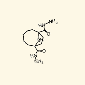 NNC(=O)C12BC(C(=O)NN)(CCCCC1)CC2